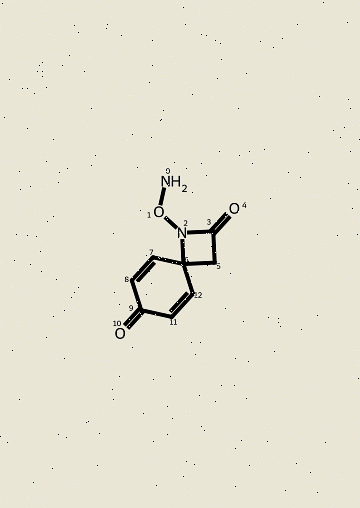 NON1C(=O)CC12C=CC(=O)C=C2